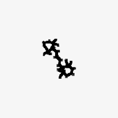 CC1(C)CCCC(C)(C)N1CC=CCN1C(C)(C)CCCC1(C)C